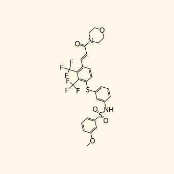 COc1cccc(S(=O)(=O)Nc2cccc(Sc3ccc(C=CC(=O)N4CCOCC4)c(C(F)(F)F)c3C(F)(F)F)c2)c1